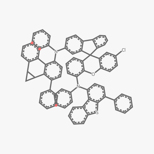 Clc1ccc2c(c1)C1(c3ccccc3-c3ccc(N(c4ccccc4)c4ccc(-c5ccccc5)c5c4-c4ccccc4C4CC54)cc31)c1cccc(N(c3ccccc3)c3ccc(-c4ccccc4)c4sc5ccccc5c34)c1O2